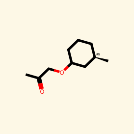 CC(=O)COC1CCC[C@@H](C)C1